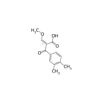 CO/C=C(\C(=O)O)C(=O)c1ccc(C)c(C)c1